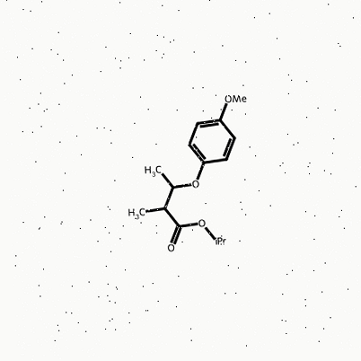 COc1ccc(OC(C)C(C)C(=O)OC(C)C)cc1